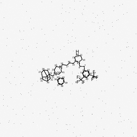 FC(F)(F)c1cc(CCN2CCNC[C@@H]2CCCCN2CCN(CC34CC5CC(CC(C5)C3)C4)[C@@H](c3ccccc3)C2)cc(C(F)(F)F)c1